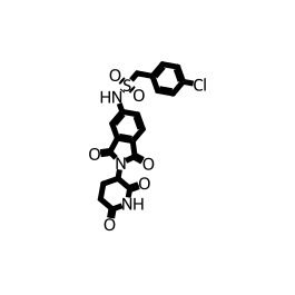 O=C1CCC(N2C(=O)c3ccc(NS(=O)(=O)Cc4ccc(Cl)cc4)cc3C2=O)C(=O)N1